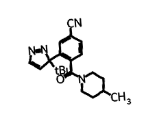 CC1CCN(C(=O)c2ccc(C#N)cc2C2(C(C)(C)C)C=CN=N2)CC1